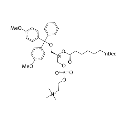 CCCCCCCCCCCCCCCC(=O)O[C@H](COC(c1ccccc1)(c1ccc(OC)cc1)c1ccc(OC)cc1)COP(=O)([O-])OCC[N+](C)(C)C